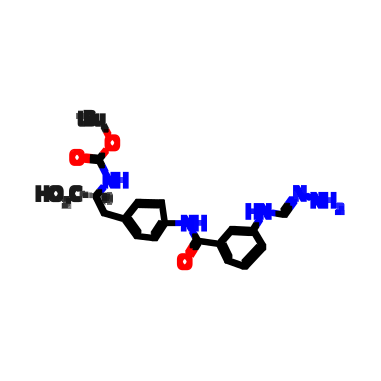 CC(C)(C)OC(=O)N[C@H](Cc1ccc(NC(=O)c2cccc(NC=NN)c2)cc1)C(=O)O